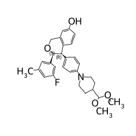 COC(OC)C1CCN(c2ccc([C@@H]3c4ccc(O)cc4CO[C@@H]3c3cc(C)cc(F)c3)cc2)CC1